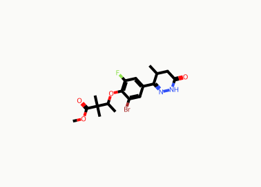 COC(=O)C(C)(C)C(C)Oc1c(F)cc(C2=NNC(=O)CC2C)cc1Br